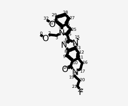 COCCn1c(-c2nc3cc4c(cc3n2C)CCN(CCCF)C4=O)cc2cccc(OC)c21